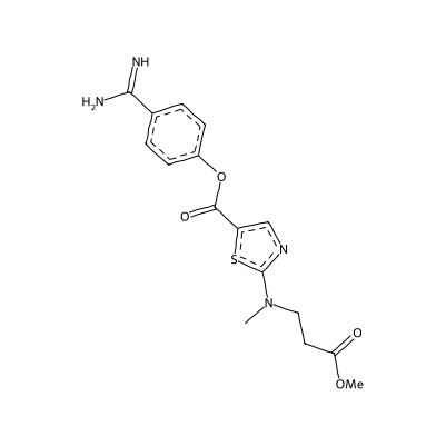 COC(=O)CCN(C)c1ncc(C(=O)Oc2ccc(C(=N)N)cc2)s1